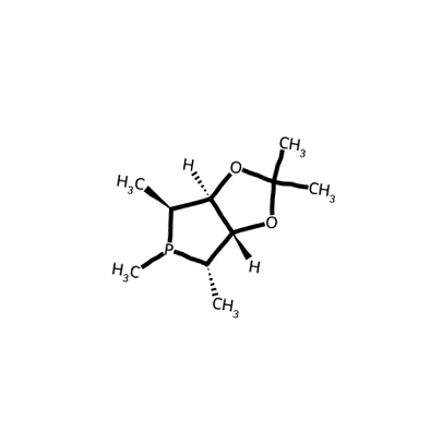 C[C@H]1[C@H]2OC(C)(C)O[C@@H]2[C@H](C)P1C